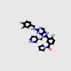 O=C(c1ccc(Cl)c(-c2nc3cnc(NCc4ccc(F)c(F)c4)nc3n2C[C@@H]2CCCNC2)c1)N1CCCC1